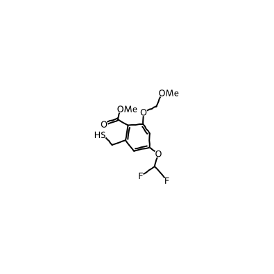 COCOc1cc(OC(F)F)cc(CS)c1C(=O)OC